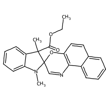 CCOC(=O)C1(C)c2ccccc2N(C)C12C=Nc1c(ccc3ccccc13)O2